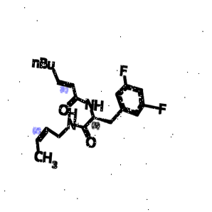 C/C=C\CNC(=O)[C@H](Cc1cc(F)cc(F)c1)NC(=O)/C=C/CCCC